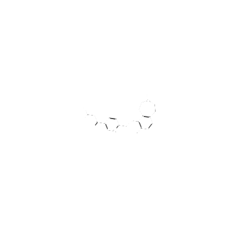 CC(C)CC(=O)c1ccc(CSc2c(Cl)ccc3c2CCNCC3)nc1